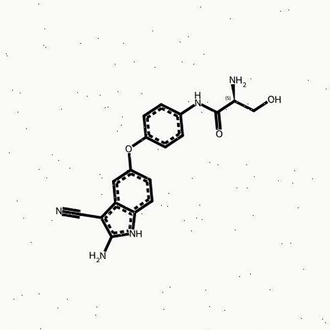 N#Cc1c(N)[nH]c2ccc(Oc3ccc(NC(=O)[C@@H](N)CO)cc3)cc12